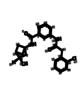 N#C[C@H]1CC2(NC(=O)c3cc(NC(=O)Cc4ccccc4Cl)ccn3)CC1C2